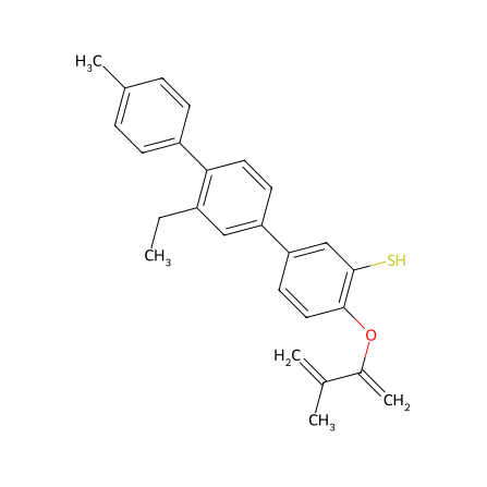 C=C(C)C(=C)Oc1ccc(-c2ccc(-c3ccc(C)cc3)c(CC)c2)cc1S